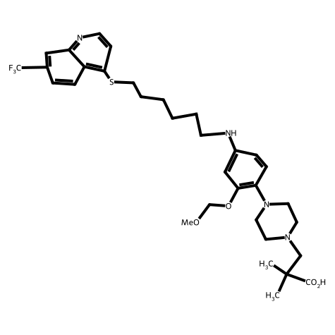 COCOc1cc(NCCCCCCSc2ccnc3cc(C(F)(F)F)ccc23)ccc1N1CCN(CC(C)(C)C(=O)O)CC1